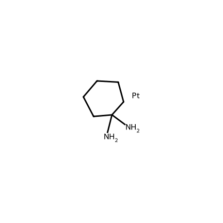 NC1(N)CCCCC1.[Pt]